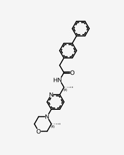 C[C@@H]1COCCN1c1ccc([C@@H](C)NC(=O)Cc2ccc(-c3ccccc3)cc2)nc1